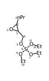 CCCC1OC1CO[Si](OCC)(OCC)OCC